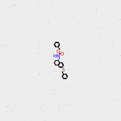 O=C(NC[C@@H]1CCCc2cc(SCc3ccccc3)ccc21)OCc1ccccc1